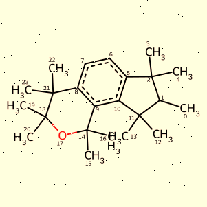 CC1C(C)(C)c2ccc3c(c2C1(C)C)C(C)(C)OC(C)(C)C3(C)C